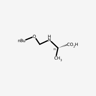 CCCCOCN[C@@H](C)C(=O)O